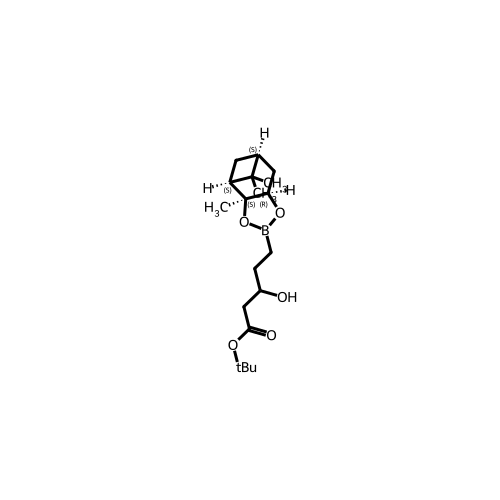 CC(C)(C)OC(=O)CC(O)CCB1O[C@@H]2C[C@@H]3C[C@@H](C3(C)C)[C@]2(C)O1